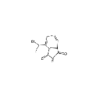 CCC(I)c1cccc2c1C(=O)NC2=O